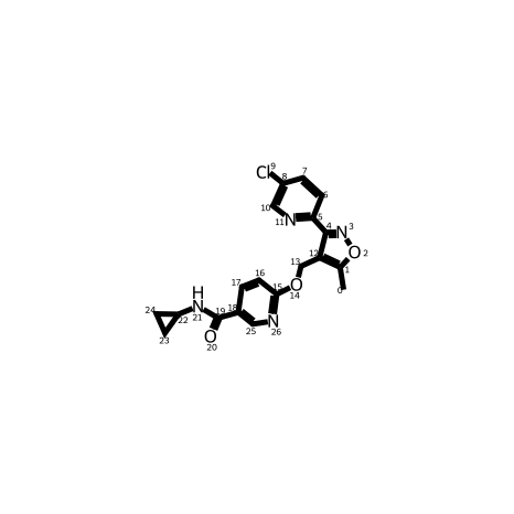 Cc1onc(-c2ccc(Cl)cn2)c1COc1ccc(C(=O)NC2CC2)cn1